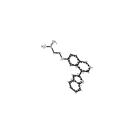 CN(C)CCOc1ccc2cncc(-c3cc4ccccc4o3)c2c1